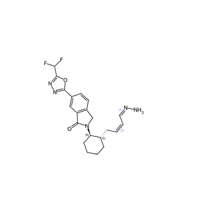 N/N=C\C=C/C[C@@H]1CCCC[C@H]1N1Cc2ccc(-c3nnc(C(F)F)o3)cc2C1=O